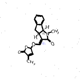 CC1=CC(O/C=C2/C(=O)N(C)[C@@H]3c4ccccc4C[C@H]23)OC1=O